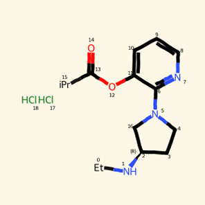 CCN[C@@H]1CCN(c2ncccc2OC(=O)C(C)C)C1.Cl.Cl